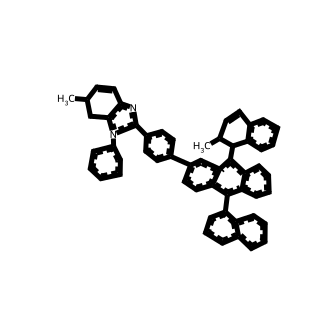 CC1C=Cc2nc(-c3ccc(-c4ccc5c(-c6cccc7ccccc67)c6ccccc6c(C6c7ccccc7C=CC6C)c5c4)cc3)n(-c3ccccc3)c2C1